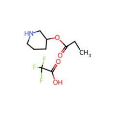 CCC(=O)OC1CCCNC1.O=C(O)C(F)(F)F